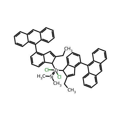 CCC1=Cc2c(-c3c4ccccc4cc4ccccc34)cccc2[CH]1[Zr]([Cl])([Cl])([CH]1C(CC)=Cc2c(-c3c4ccccc4cc4ccccc34)cccc21)=[Si](C)C